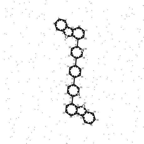 c1ccc2c(c1)oc1c(-c3ccc(-c4ccc(-c5ccc(-c6cccc7c6oc6ccccc67)nc5)cc4)cn3)cccc12